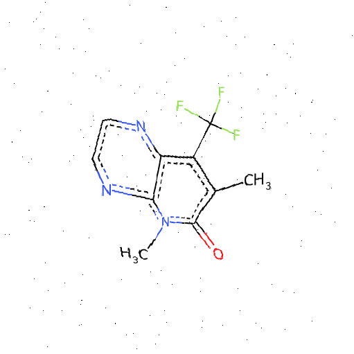 Cc1c(C(F)(F)F)c2nccnc2n(C)c1=O